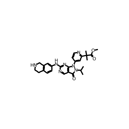 COC(=O)C(C)(C)c1cc(-n2c3nc(Nc4ccc5c(c4)CNCC5)ncc3c(=O)n2C(C)C)ccn1